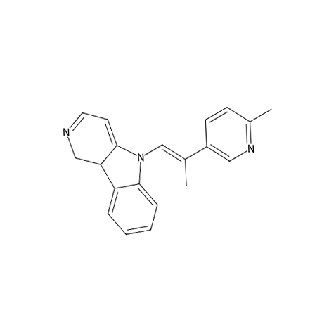 CC(=CN1C2=CC=NCC2c2ccccc21)c1ccc(C)nc1